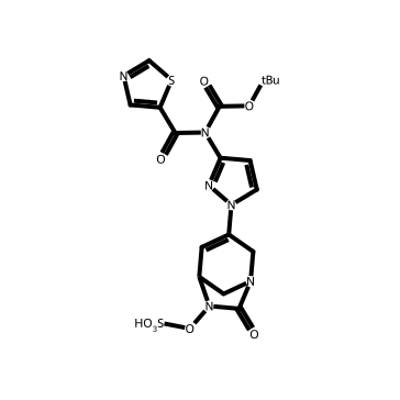 CC(C)(C)OC(=O)N(C(=O)c1cncs1)c1ccn(C2=CC3CN(C2)C(=O)N3OS(=O)(=O)O)n1